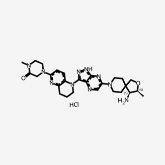 C[C@@H]1OCC2(CCN(c3cnc4c(N5CCCc6nc(N7CCN(C)C(=O)C7)ccc65)n[nH]c4n3)CC2)[C@@H]1N.Cl